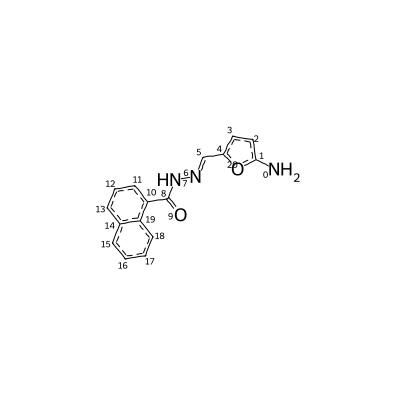 Nc1ccc(/C=N/NC(=O)c2cccc3ccccc23)o1